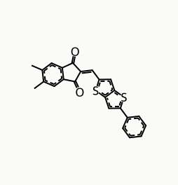 Cc1cc2c(cc1C)C(=O)C(=Cc1cc3sc(-c4ccccc4)cc3s1)C2=O